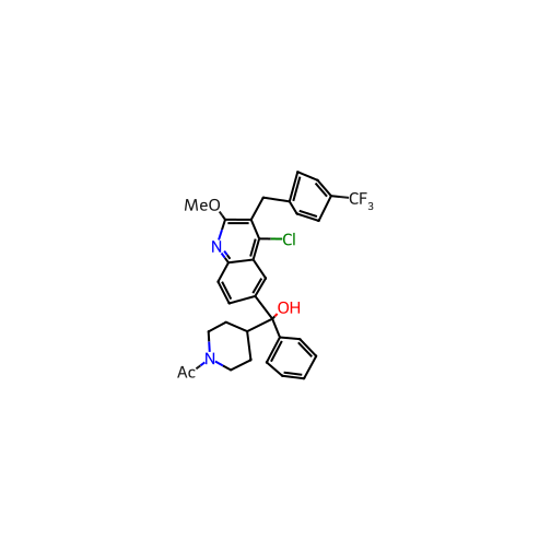 COc1nc2ccc(C(O)(c3ccccc3)C3CCN(C(C)=O)CC3)cc2c(Cl)c1Cc1ccc(C(F)(F)F)cc1